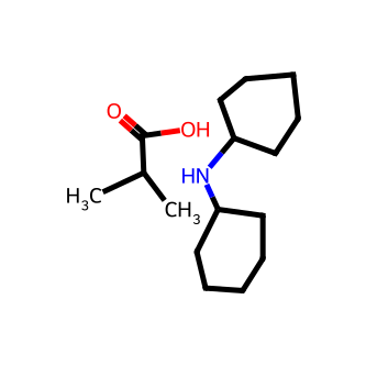 C1CCC(NC2CCCCC2)CC1.CC(C)C(=O)O